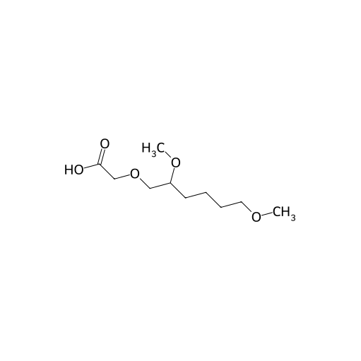 COCCCCC(COCC(=O)O)OC